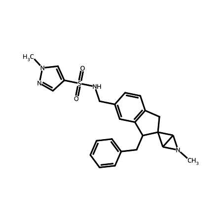 CN1C2C1C21Cc2ccc(CNS(=O)(=O)c3cnn(C)c3)cc2C1Cc1ccccc1